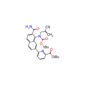 C=C(C#N)CN(C(=O)OC(C)(C)C)c1c(C(N)=O)ccc2ccc(-c3cccc(C(=O)OCC(C)C)n3)cc12